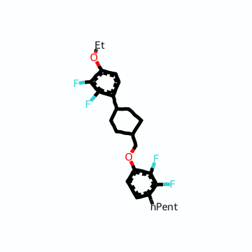 CCCCCc1ccc(OCC2CCC(c3ccc(OCC)c(F)c3F)CC2)c(F)c1F